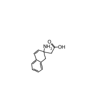 NC1(CC(=O)O)C=Cc2ccccc2C1